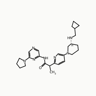 CC(C(=O)Nc1cncc(N2CCCC2)n1)c1ccc(N2CCC[C@@H](NCC3CCC3)C2)cn1